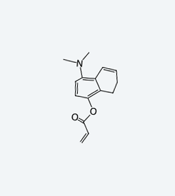 C=CC(=O)Oc1ccc(N(C)C)c2c1CCC=C2